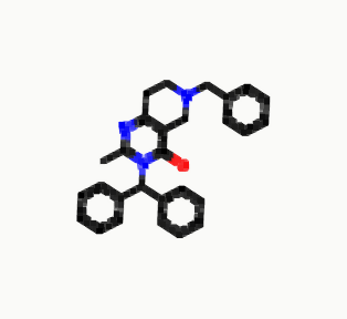 Cc1nc2c(c(=O)n1C(c1ccccc1)c1ccccc1)CN(Cc1ccccc1)CC2